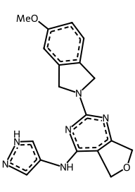 COc1ccc2c(c1)CN(c1nc3c(c(Nc4cn[nH]c4)n1)COC3)C2